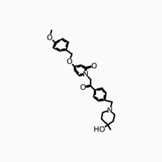 COc1ccc(COc2ccn(CC(=O)c3ccc(CN4CCC(C)(O)CC4)cc3)c(=O)c2)cc1